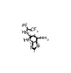 CC(C)C(Nc1cc(N)c2ncnc-2[nH]1)C(F)(F)F